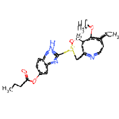 CCCC(=O)Oc1ccc2[nH]c([S+]([O-])Cc3ncc(C)c(OC)c3C)nc2c1